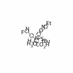 CCc1ccc(COc2ccc3c(c2)c(SC(C)(C)C)c(CC(C)(C)C(=O)O)n3Cc2ccc(-c3cncc(F)c3)cc2)nc1